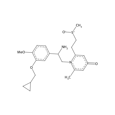 COc1ccc(C(N)Cn2c(C)cc(=O)cc2CC[S+](C)[O-])cc1OCC1CC1